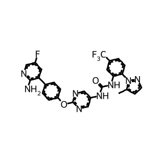 Cc1ccnn1-c1ccc(C(F)(F)F)cc1NC(=O)Nc1cnc(Oc2ccc(-c3cc(F)cnc3N)cc2)nc1